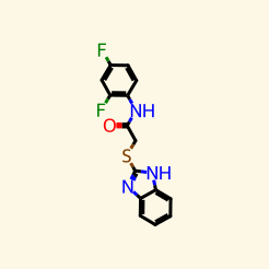 O=C(CSc1nc2ccccc2[nH]1)Nc1ccc(F)cc1F